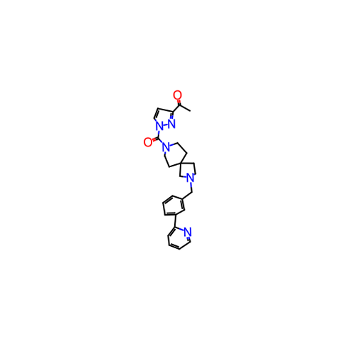 CC(=O)c1ccn(C(=O)N2CCC3(CCN(Cc4cccc(-c5ccccn5)c4)C3)CC2)n1